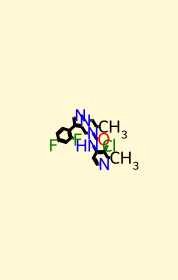 Cc1nccc(NC(=O)N2Cc3c(-c4ccc(F)cc4F)cnn3CC2C)c1Cl